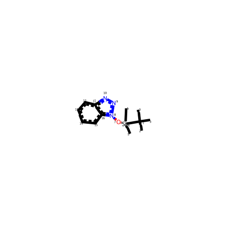 CC(C)(C)[Si](C)(C)On1nnc2ccccc21